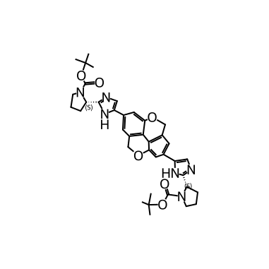 CC(C)(C)OC(=O)N1CCC[C@H]1c1ncc(-c2cc3c4c(c2)OCc2cc(-c5cnc([C@@H]6CCCN6C(=O)OC(C)(C)C)[nH]5)cc(c2-4)OC3)[nH]1